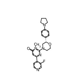 Cn1c(N2CCO[C@@H](c3ccc(N4CCCC4)cc3)C2)nc(-c2ccncc2F)cc1=O